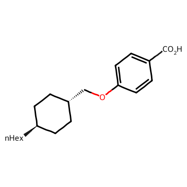 CCCCCC[C@H]1CC[C@H](COc2ccc(C(=O)O)cc2)CC1